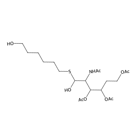 CC(=O)NC(C(O)SCCCCCCO)C(OC(C)=O)C(CCOC(C)=O)OC(C)=O